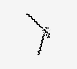 CCCCCCCCCCCCOC(N)C(C[N+](C)(C)C(C)C)OCCCCCCCCCCCC